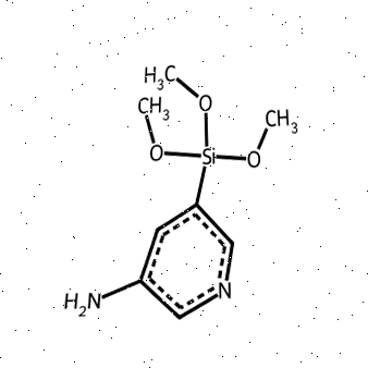 CO[Si](OC)(OC)c1cncc(N)c1